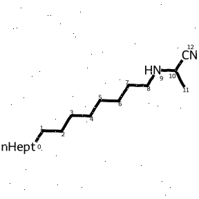 CCCCCCCCCCCCCCCNC(C)C#N